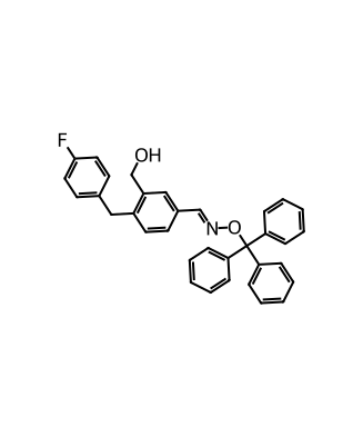 OCc1cc(C=NOC(c2ccccc2)(c2ccccc2)c2ccccc2)ccc1Cc1ccc(F)cc1